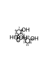 O=P(O)(O)c1cccc(O)c1CCc1cccc(O)c1